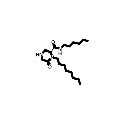 CCCCCCCCN1C(=O)CNC[C@@H]1C(=O)NCCCCCC